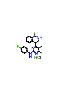 Cc1nc(Nc2ccc(F)cc2)nc(C2CNC(C)c3ccccc32)c1C.Cl